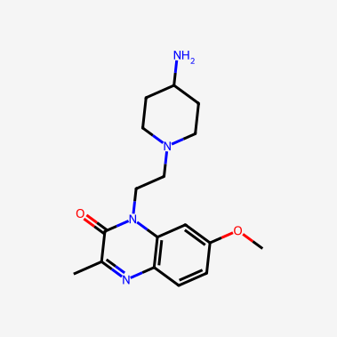 COc1ccc2nc(C)c(=O)n(CCN3CCC(N)CC3)c2c1